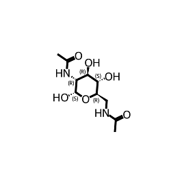 CC(=O)NC[C@H]1O[C@H](O)[C@H](NC(C)=O)[C@@H](O)[C@@H]1O